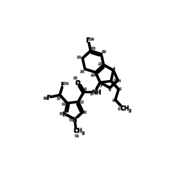 CCCC1C2CCC1(NC(=O)c1cn(C)nc1C(F)F)C1=C2C=C(F)CC1